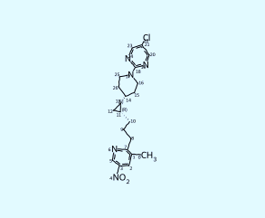 Cc1cc([N+](=O)[O-])cnc1CCC[C@@H]1C[C@@H]1C1CCN(c2ncc(Cl)cn2)CC1